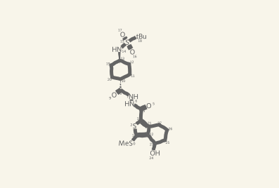 CSc1sc(C(=O)NNC(=O)[C@H]2CC[C@H](NS(=O)(=O)C(C)(C)C)CC2)c2c1C(O)CCC2